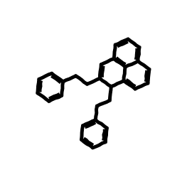 C1=C(CCc2ccccc2)C(CCc2ccccc2)c2cccc3cccc1c23